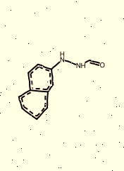 O=CNNc1ccc2ccccc2c1